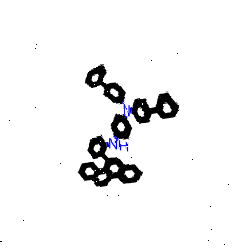 c1ccc(-c2ccc(N(c3ccc(Nc4ccccc4-c4cc5ccccc5c5ccc6ccccc6c45)cc3)c3ccc(-c4ccccc4)cc3)cc2)cc1